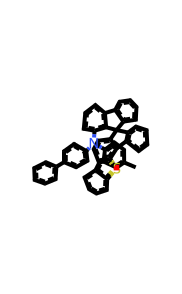 Cc1ccc(N(c2ccc(-c3ccccc3)cc2)c2cccc3c2C2(c4ccccc4-3)c3ccccc3-c3c2ccc2c3sc3ccccc32)cc1